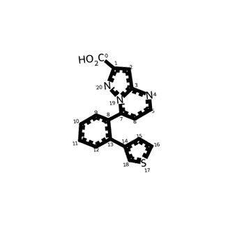 O=C(O)c1cc2nccc(-c3ccccc3-c3ccsc3)n2n1